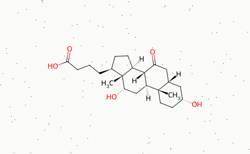 C[C@]12CC[C@@H](O)C[C@H]1CC(=O)[C@@H]1[C@@H]2C[C@H](O)[C@]2(C)[C@@H](CCCC(=O)O)CC[C@@H]12